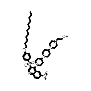 CCCCCCCCCCCCOc1ccc(S(=O)(=O)c2cnc3ccc([S+](C)[O-])cc3c2N2CCC(N3CCC(N4CCN(CCO)CC4)CC3)CC2)cc1